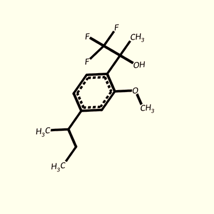 CCC(C)c1ccc(C(C)(O)C(F)(F)F)c(OC)c1